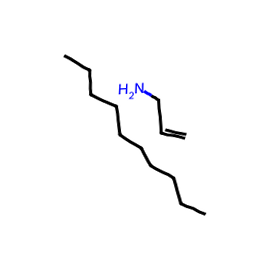 C=CCN.CCCCCCCCCC